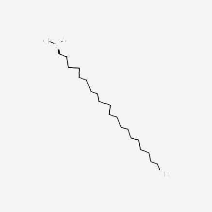 SCCCCCCCCCCCCCCCCCCCC[SiH](Cl)Cl